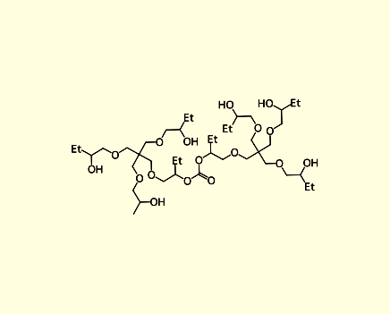 CCC(O)COCC(COCC(C)O)(COCC(O)CC)COCC(CC)OC(=O)OC(CC)COCC(COCC(O)CC)(COCC(O)CC)COCC(O)CC